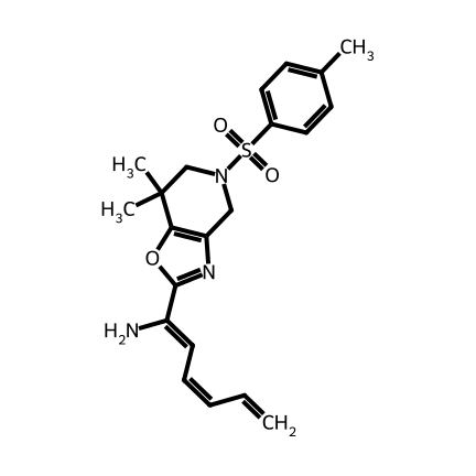 C=C/C=C\C=C(/N)c1nc2c(o1)C(C)(C)CN(S(=O)(=O)c1ccc(C)cc1)C2